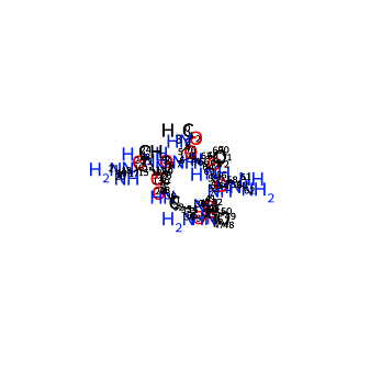 CC(=O)NCC[C@@H]1NC(=O)[C@@H](NC(=O)[C@H](CCCNC(=N)N)NC(C)=O)CCC(=O)NCCC[C@@H](C(N)O)NC(=O)[C@H](Cc2c[nH]c3ccccc23)NC(=O)[C@H](CCCNC(=N)N)NC(=O)[C@@H](Cc2ccccc2)NC1=O